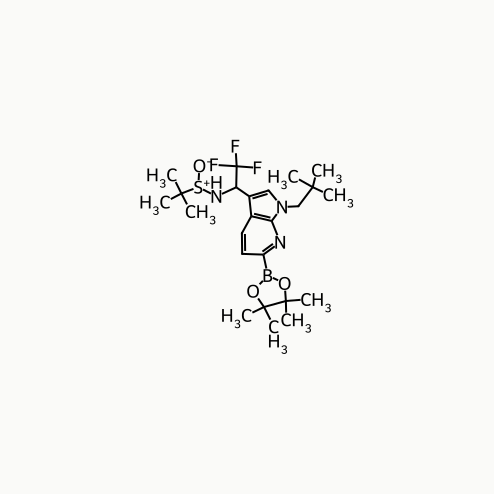 CC(C)(C)Cn1cc(C(N[S+]([O-])C(C)(C)C)C(F)(F)F)c2ccc(B3OC(C)(C)C(C)(C)O3)nc21